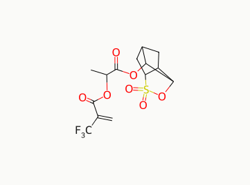 C=C(C(=O)OC(C)C(=O)OC1C2CC3C1OS(=O)(=O)C3C2)C(F)(F)F